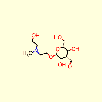 CN(CCO)CCO[C@H]1O[C@H](CO)[C@@H](O)[C@H](C=O)[C@@H]1O